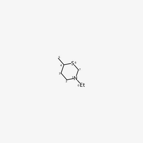 CCN1CCC(C)SC1